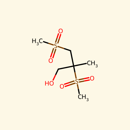 CC(CO)(CS(C)(=O)=O)S(C)(=O)=O